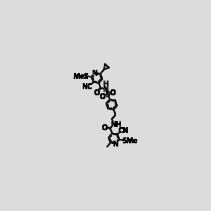 CSc1nc(C)cc(C(=O)NCCc2ccc(S(=O)(=O)NC(=O)c3cc(C4CC4)nc(SC)c3C#N)cc2)c1C#N